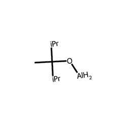 CC(C)C(C)([O][AlH2])C(C)C